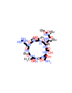 CC[C@H](C)[C@@H]1NC(=O)[C@@H](CCCNC(=N)N)NC(=O)[C@H](CC(C)C)NC(=O)[C@H]([C@H](O)C(C)C)NC(=O)[C@@H](NC(=O)[C@H](CC(C)(C)C)NC(=O)[C@@H](CC(C)(C)C)NC(=O)OC(C)(C)C)[C@@H](C(C)C)NC(=O)C(CO)NC(=O)C([C@H](O)C(N)=O)NC(=O)CNC(=O)[C@H]([C@H](C)O)NC1=O